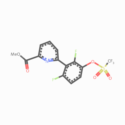 COC(=O)c1cccc(-c2c(F)ccc(OS(=O)(=O)C(F)(F)F)c2F)n1